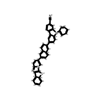 N#Cc1ccc2c3cc(-c4ccc5cc(-c6ccc7nc8c9ccccc9sc8n7c6)ccc5c4)ccc3n(-c3ccccc3)c2c1